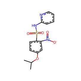 CC(C)Oc1ccc(S(=O)(=O)Nc2ccccn2)c([N+](=O)[O-])c1